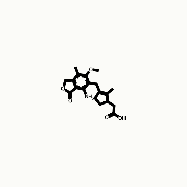 COc1c(C)c2c(c(N)c1CC1=C(C)C(CC(=O)O)CC1)C(=O)OC2